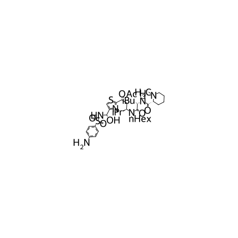 CCCCCCN(C(=O)[C@@H](NC(=O)[C@H]1CCCCN1C)[C@@H](C)CC)[C@H](C[C@@H](OC(C)=O)c1nc(C(O)NS(=O)(=O)c2ccc(N)cc2)cs1)C(C)C